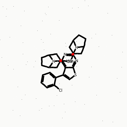 COC1CC2CCC(C1)N2c1nc(N2C3CCC2CC(O)C3)nc2scc(-c3ccccc3Cl)c12